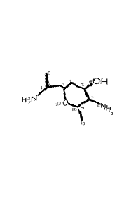 CC(N)C1CC(O)C(N)[C@@H](C)O1